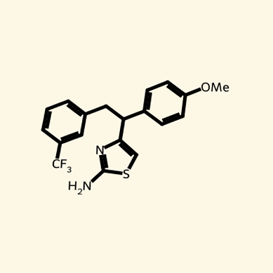 COc1ccc(C(Cc2cccc(C(F)(F)F)c2)c2csc(N)n2)cc1